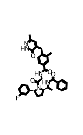 Cc1cc(Cc2ccc(C(=O)NCC(=O)N3[C@@H](C(C)NC(=O)c4ccccc4)CC[C@H]3c3cccc(F)c3)cc2C)c(=O)[nH]n1